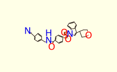 N#Cc1ccc(CNC(=O)c2ccc(S(=O)(=O)n3cc(C4CCOCC4)c4ccccc43)cc2)cc1